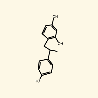 CC(Cc1ccc(O)cc1O)c1ccc(O)cc1